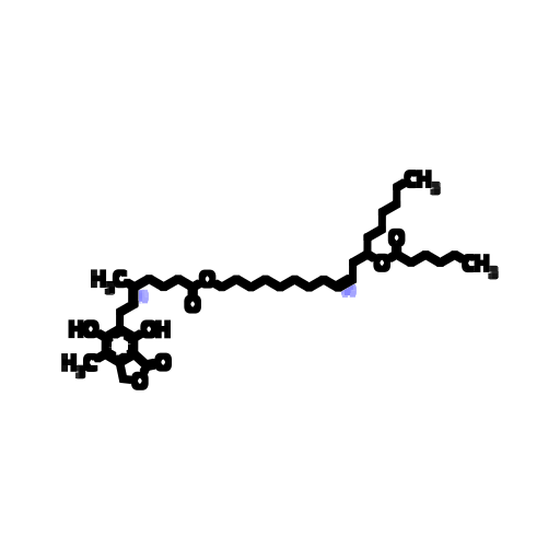 CCCCCCC(C/C=C\CCCCCCCCOC(=O)CCC/C(C)=C/Cc1c(O)c(C)c2c(c1O)C(=O)OC2)OC(=O)CCCCC